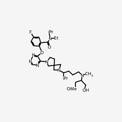 CCN(C(=O)c1cc(F)ccc1Oc1nncnc1N1CCC2(C1)CN(C(CCCN(C)C(CO)COC)C(C)C)C2)C(C)C